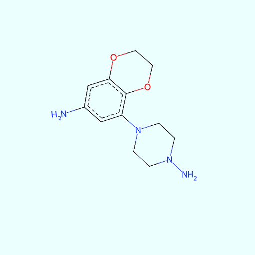 Nc1cc2c(c(N3CCN(N)CC3)c1)OCCO2